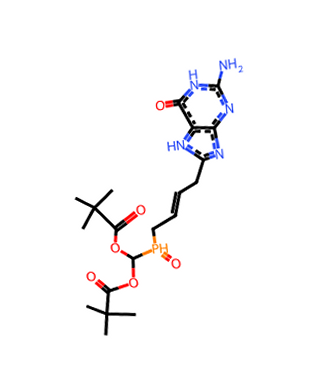 CC(C)(C)C(=O)OC(OC(=O)C(C)(C)C)[PH](=O)C/C=C/Cc1nc2nc(N)[nH]c(=O)c2[nH]1